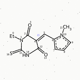 CCN1C(=O)/C(=C/c2cccn2C)C(=O)NC1=S